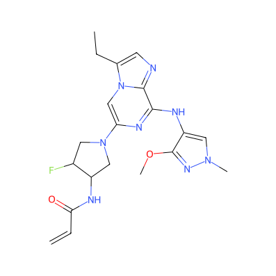 C=CC(=O)NC1CN(c2cn3c(CC)cnc3c(Nc3cn(C)nc3OC)n2)CC1F